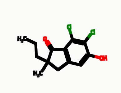 CCCC1(C)Cc2cc(O)c(Cl)c(Cl)c2C1=O